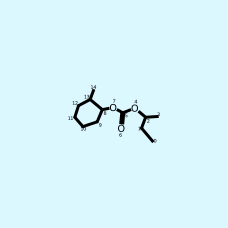 CCC(C)OC(=O)OC1CCCCC1C